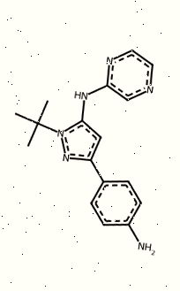 CC(C)(C)n1nc(-c2ccc(N)cc2)cc1Nc1cnccn1